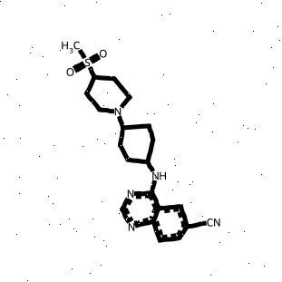 CS(=O)(=O)C1CCN(C2CCC(Nc3ncnc4ccc(C#N)cc34)CC2)CC1